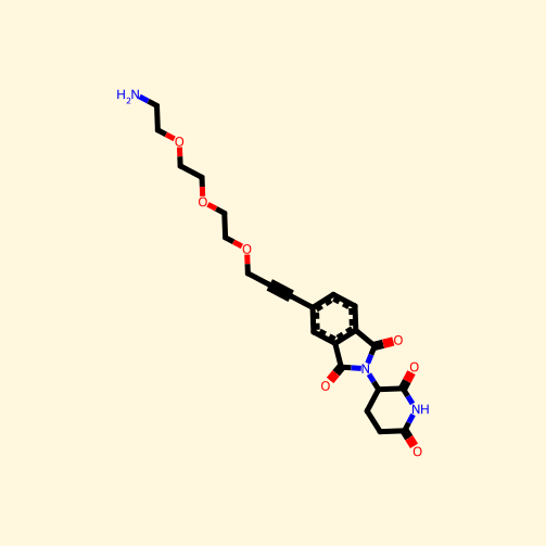 NCCOCCOCCOCC#Cc1ccc2c(c1)C(=O)N(C1CCC(=O)NC1=O)C2=O